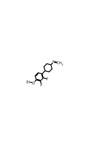 C=NC1CCC(c2ccc(OCC)c(F)c2F)CC1